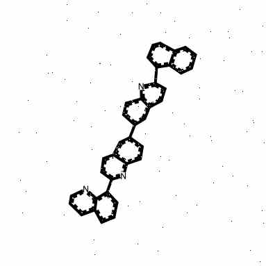 c1ccc2c(-c3ccc4cc(-c5ccc6nc(-c7cccc8cccnc78)ccc6c5)ccc4n3)cccc2c1